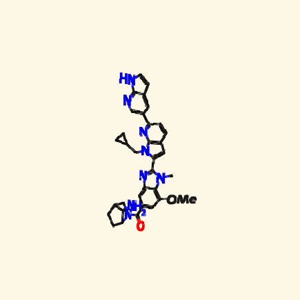 COc1cc(C(=O)N2CC3CCC2C3N)cc2nc(-c3cc4ccc(-c5cnc6[nH]ccc6c5)nc4n3CC3CC3)n(C)c12